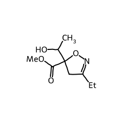 CCC1=NOC(C(=O)OC)(C(C)O)C1